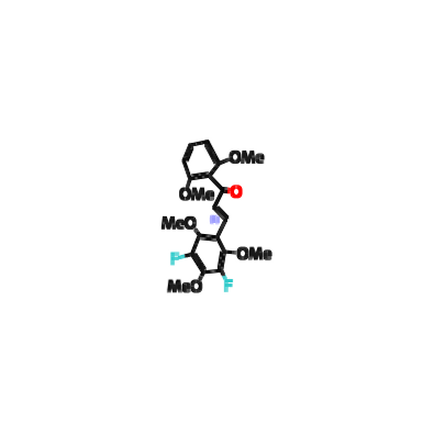 COc1cccc(OC)c1C(=O)/C=C/c1c(OC)c(F)c(OC)c(F)c1OC